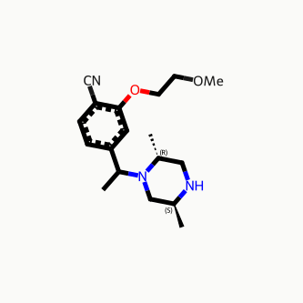 COCCOc1cc(C(C)N2C[C@H](C)NC[C@H]2C)ccc1C#N